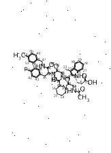 CC(=O)N[C@@H](CCC(=O)O)C(=O)N1CCCC[C@H]1C(=O)N[C@@H](Cc1c[nH]c2ccccc12)C(=O)N[C@@H](Cc1ccc(F)cc1)C(=O)NCc1ccc(C)cc1